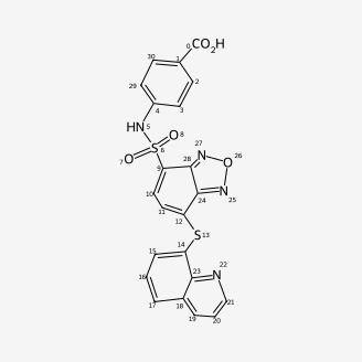 O=C(O)c1ccc(NS(=O)(=O)c2ccc(Sc3cccc4cccnc34)c3nonc23)cc1